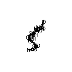 COCCCOc1cc2c(cc1OC)C(=O)N1C=C(c3ccc(NC(=O)C(C)NC(=O)C(NC(=O)CCCCCN4C(=O)C=C(Oc5ccc(C#N)cc5)C4=O)C(C)C)cc3)C[C@H]1C=N2